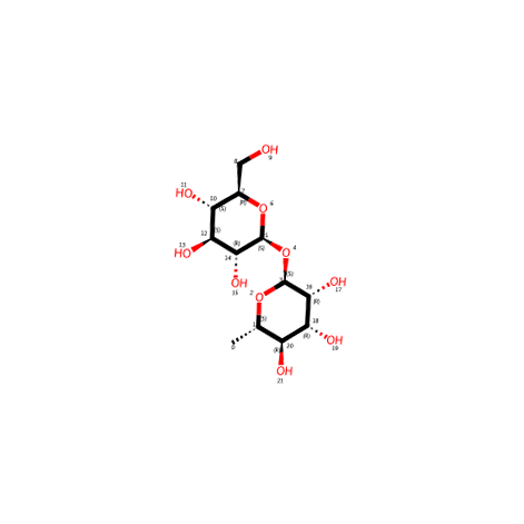 C[C@@H]1O[C@@H](O[C@@H]2O[C@H](CO)[C@@H](O)[C@H](O)[C@H]2O)[C@H](O)[C@H](O)[C@H]1O